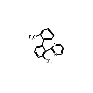 FC(F)(F)c1ccccc1-c1cccc(C(F)(F)F)c1-c1ncccn1